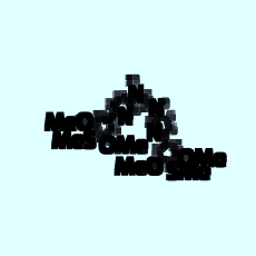 COc1cc(-c2ccc(N(C)CCN(C)c3ccc(-c4cc(OC)c(SC)c(OC)c4)nc3)cn2)cc(OC)c1SC